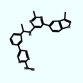 CCNc1ncc(-c2cccc(C(C)Nc3cc(-c4ccc5occ(C)c5c4)nc(C)n3)c2)cn1